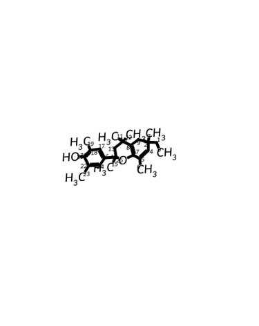 CCC1(C)C=C(C)C2=C(C1)C(C)(C)CC(C)(c1cc(C)c(O)c(C)c1)O2